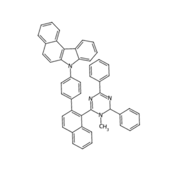 CN1C(c2c(-c3ccc(-n4c5ccccc5c5c6ccccc6ccc54)cc3)ccc3ccccc23)=NC(c2ccccc2)=NC1c1ccccc1